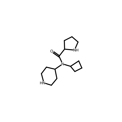 O=C(C1CCCN1)N(C1CCC1)C1CCNCC1